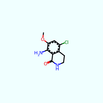 COc1cc(Cl)c2c(c1N)C(=O)NCC2